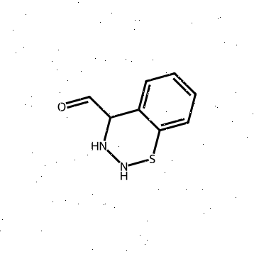 O=CC1NNSc2ccccc21